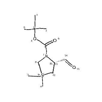 CC(C)(C)OC(=O)N1C[Si](C)(C)C[C@H]1C=O